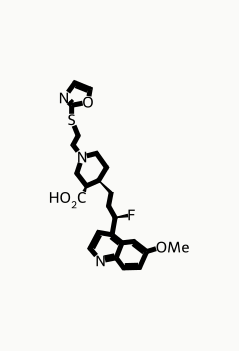 COc1ccc2nccc([C@H](F)CC[C@@H]3CCN(CCSc4ncco4)C[C@@H]3C(=O)O)c2c1